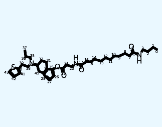 CCCCNC(=O)CCCCCCCCCCC(=O)NCCC(=O)Oc1cccc2c1CCC(N(CCC)CCc1cccs1)C2